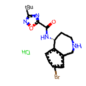 CC(C)(C)c1noc(C(=O)N[C@@H]2CCNCc3cc(Br)ccc32)n1.Cl